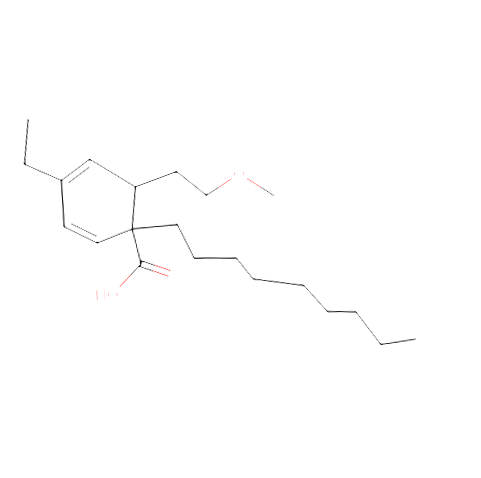 CCCCCCCCCC1(C(=O)O)C=CC(CC)=CC1CCOC